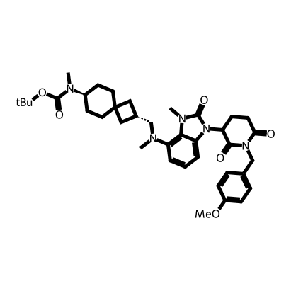 COc1ccc(CN2C(=O)CCC(n3c(=O)n(C)c4c(N(C)C[C@H]5CC6(CC[C@H](N(C)C(=O)OC(C)(C)C)CC6)C5)cccc43)C2=O)cc1